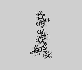 CC(C)(C)[Si](C)(C)OCC(CO[Si](C)(C)C(C)(C)C)Oc1cccc2c1CCN2C(=O)CCCN1C(=O)c2ccccc2C1=O